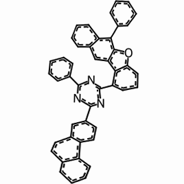 c1ccc(-c2nc(-c3ccc4c(ccc5ccccc54)c3)nc(-c3cccc4oc5c(-c6ccccc6)c6ccccc6cc5c34)n2)cc1